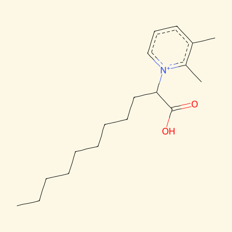 CCCCCCCCCC(C(=O)O)[n+]1cccc(C)c1C